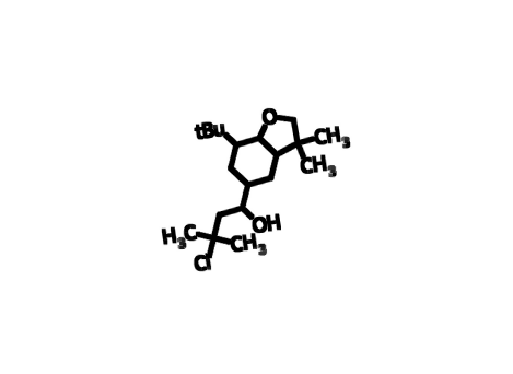 CC(C)(Cl)CC(O)C1CC(C(C)(C)C)C2OCC(C)(C)C2C1